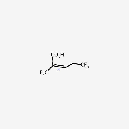 O=C(O)/C(=C\CC(F)(F)F)C(F)(F)F